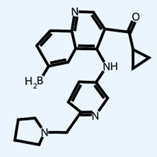 Bc1ccc2ncc(C(=O)C3CC3)c(Nc3ccc(CN4CCCC4)nc3)c2c1